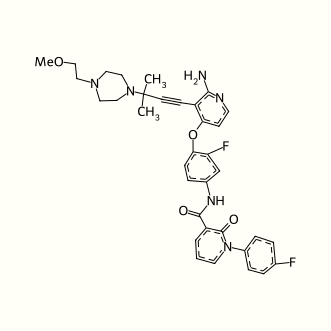 COCCN1CCN(C(C)(C)C#Cc2c(Oc3ccc(NC(=O)c4cccn(-c5ccc(F)cc5)c4=O)cc3F)ccnc2N)CC1